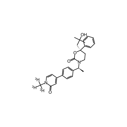 [2H]C([2H])([2H])n1ccc(-c2ccc([C@H](C)N3CC[C@](CC(C)(C)O)(c4ccccc4)OC3=O)cc2)cc1=O